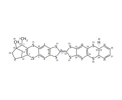 CC1C2=C(Sc3cc4c(cc3S2)S/C(=C2/Sc3cc5c(cc3S2)S[C@H]2C=CC=CC2S5)S4)C2CCC1(C)C2